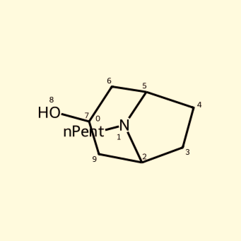 CCCCCN1C2CCC1CC(O)C2